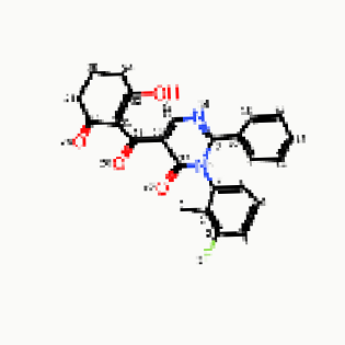 Cc1c(F)cccc1-n1c(-c2ccccc2)ncc(C(=O)C2=C(O)CCCC2=O)c1=O